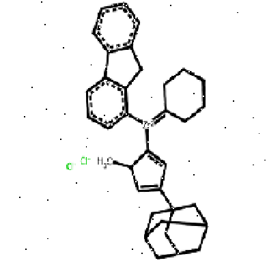 CC1C=C(C23CC4CC(CC(C4)C2)C3)C=[C]1[Zr+2](=[C]1CCCCC1)[c]1cccc2c1Cc1ccccc1-2.[Cl-].[Cl-]